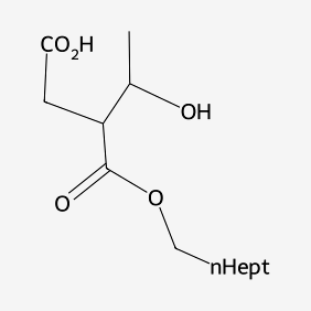 CCCCCCCCOC(=O)C(CC(=O)O)C(C)O